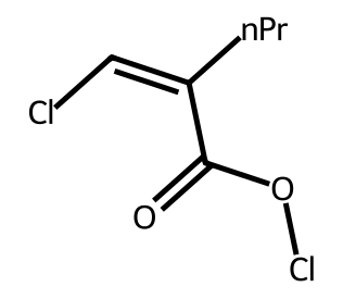 CCCC(=CCl)C(=O)OCl